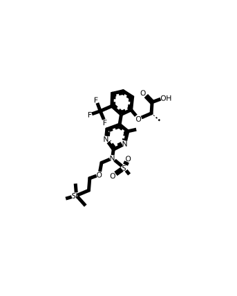 Cc1nc(N(COCC[Si](C)(C)C)S(C)(=O)=O)ncc1-c1c(O[C@@H](C)C(=O)O)cccc1C(F)(F)F